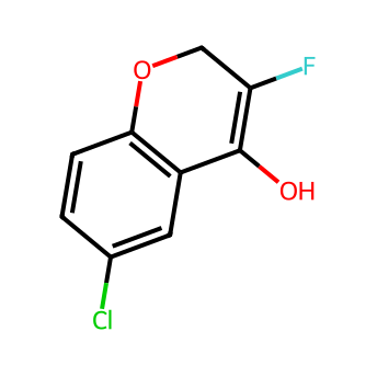 OC1=C(F)COc2ccc(Cl)cc21